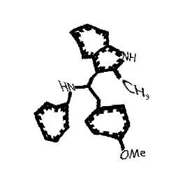 COc1ccc(C(Nc2ccccc2)c2c(C)[nH]c3ccccc23)cc1